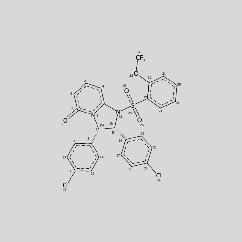 O=c1cccc2n1[C@@H](c1ccc(Cl)cc1)[C@@H](c1ccc(Cl)cc1)N2S(=O)(=O)c1ccccc1OC(F)(F)F